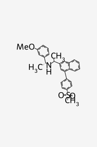 COc1cccc([C@@H](C)NC(C)c2cc(-c3ccc(S(C)(=O)=O)cc3)c3ccccc3c2)c1